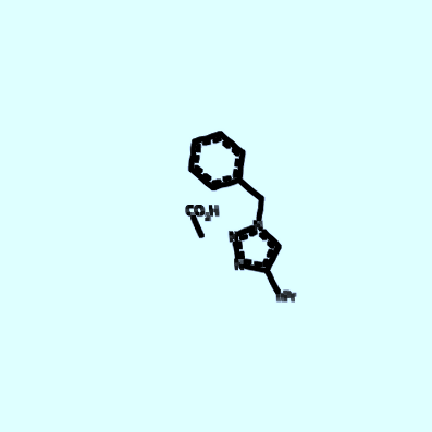 CC(=O)O.CCCc1cn(Cc2ccccc2)nn1